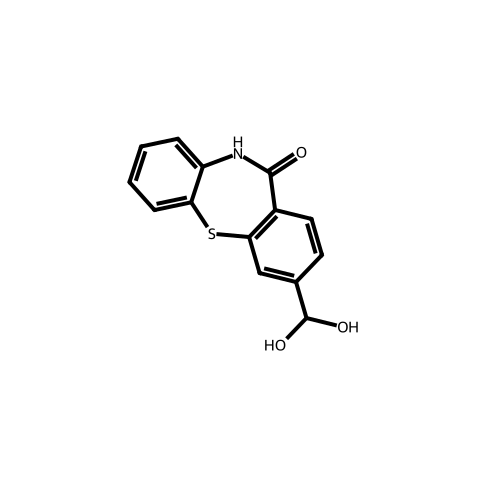 O=C1Nc2ccccc2Sc2cc(C(O)O)ccc21